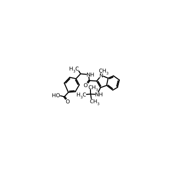 CC(NC(=O)c1c(NC(C)(C)C)c2ccccc2n1C)c1ccc(C(=O)O)cc1